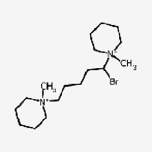 C[N+]1(CCCCC(Br)[N+]2(C)CCCCC2)CCCCC1